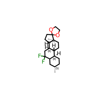 C[C@H]1CC[C@H]2C(C1)C(F)(F)C[C@@H]1[C@@H]2CC[C@@]2(C)[C@H]1CCC21OCCO1